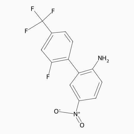 Nc1ccc([N+](=O)[O-])cc1-c1ccc(C(F)(F)F)cc1F